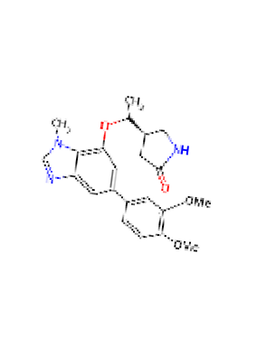 COc1ccc(-c2cc(OC(C)[C@H]3CNC(=O)C3)c3c(c2)ncn3C)cc1OC